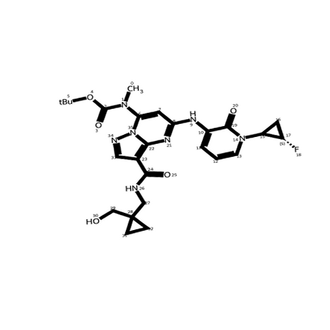 CN(C(=O)OC(C)(C)C)c1cc(Nc2cccn(C3C[C@@H]3F)c2=O)nc2c(C(=O)NCC3(CO)CC3)cnn12